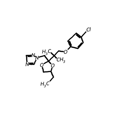 CCC1COC(Cn2cncn2)(C(C)(C)COc2ccc(Cl)cc2)O1